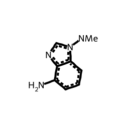 CNn1cnc2c(N)cccc21